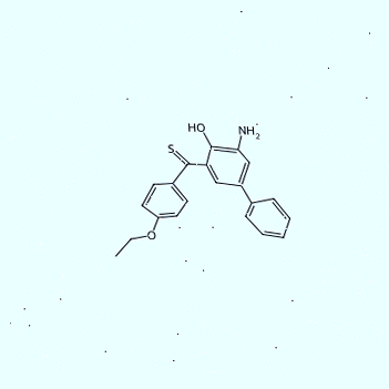 CCOc1ccc(C(=S)c2cc(-c3ccccc3)cc(N)c2O)cc1